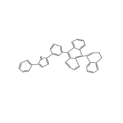 C1=C(c2c3ccccc3c(-c3cccc(-c4ccc(-c5ccccc5)s4)c3)c3ccccc23)c2ccccc2CC1